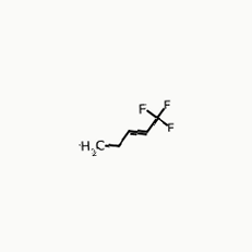 [CH2]C/C=C/C(F)(F)F